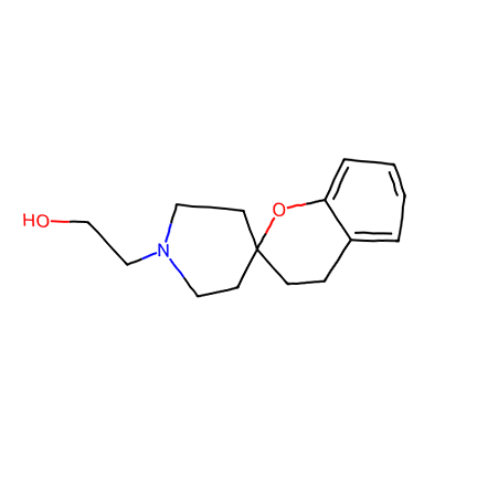 OCCN1CCC2(CCc3ccccc3O2)CC1